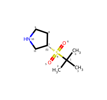 CC(C)(C)S(=O)(=O)[C@H]1CCNC1